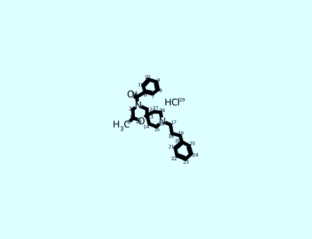 CC1CN(C(=O)c2ccccc2)CC2(CCN(CCCc3ccccc3)CC2)O1.Cl